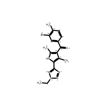 CCn1nnc(-c2[nH]c(C)c(C(=O)c3ccc(C)c(Br)c3)c2C)n1